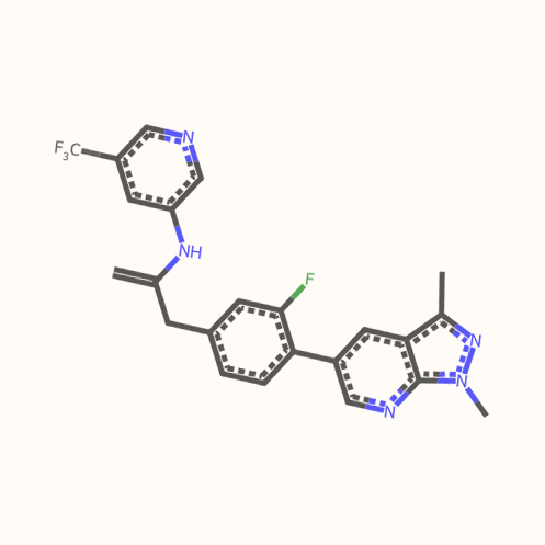 C=C(Cc1ccc(-c2cnc3c(c2)c(C)nn3C)c(F)c1)Nc1cncc(C(F)(F)F)c1